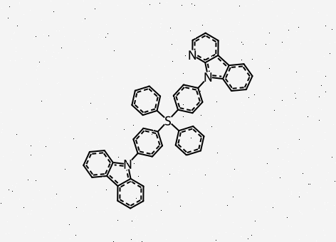 c1ccc(S(c2ccccc2)(c2ccc(-n3c4ccccc4c4ccccc43)cc2)c2ccc(-n3c4ccccc4c4cccnc43)cc2)cc1